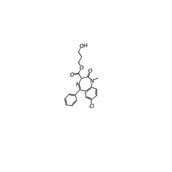 CN1C(=O)C(C(=O)OCCCO)N=C(c2ccccc2)c2cc(Cl)ccc21